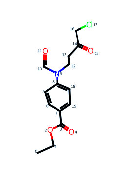 CCOC(=O)c1ccc(N(C=O)CCC(=O)CCl)cc1